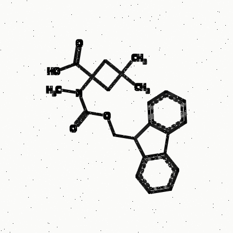 CN(C(=O)OCC1c2ccccc2-c2ccccc21)C1(C(=O)O)CC(C)(C)C1